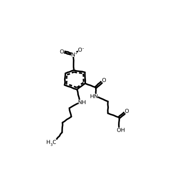 CCCCCNc1ccc([N+](=O)[O-])cc1C(=O)NCCC(=O)O